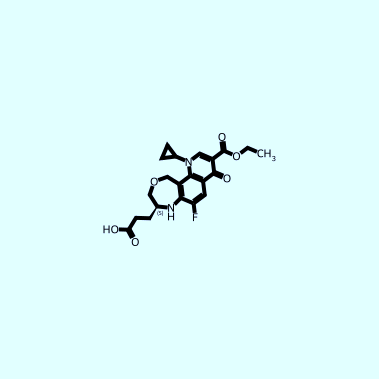 CCOC(=O)c1cn(C2CC2)c2c3c(c(F)cc2c1=O)N[C@@H](CCC(=O)O)COC3